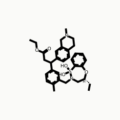 CCOC(=O)CC(c1ccc(C)c(CN2C[C@@H](CC)Oc3ccccc3S2(O)O)c1)c1ccc2c(c1)CN(C)CC2